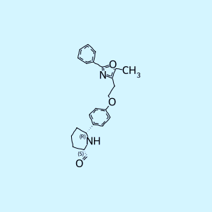 Cc1oc(-c2ccccc2)nc1CCOc1ccc([C@H]2CCC[C@@H](C=O)N2)cc1